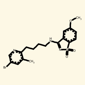 COc1ccc2c(c1)C(NCCCCc1ncc(Br)cc1C)=NS2(=O)=O